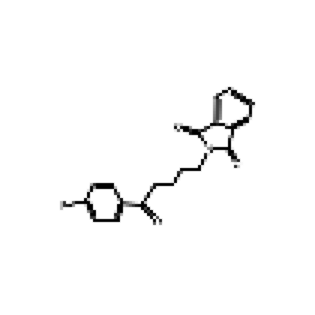 O=C(CCCCN1C(=O)c2ccccc2C1=O)c1ccc(F)cc1